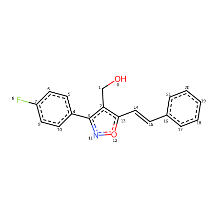 OCc1c(-c2ccc(F)cc2)noc1C=Cc1ccccc1